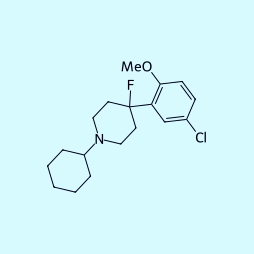 COc1ccc(Cl)cc1C1(F)CCN(C2CCCCC2)CC1